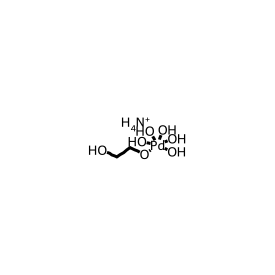 OCC[O][Pd]([OH])([OH])([OH])([OH])[OH].[NH4+]